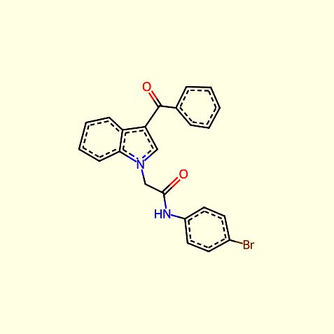 O=C(Cn1cc(C(=O)c2ccccc2)c2ccccc21)Nc1ccc(Br)cc1